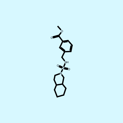 COC(=O)c1cccc(CNS(=O)(=O)N2CCC3CCCCC3C2)c1